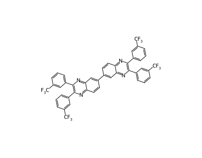 FC(F)(F)c1cccc(-c2nc3ccc(-c4ccc5nc(-c6cccc(C(F)(F)F)c6)c(-c6cccc(C(F)(F)F)c6)nc5c4)cc3nc2-c2cccc(C(F)(F)F)c2)c1